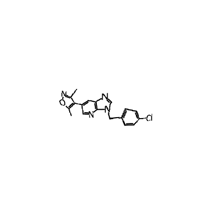 Cc1noc(C)c1-c1cnc2c(c1)ncn2Cc1ccc(Cl)cc1